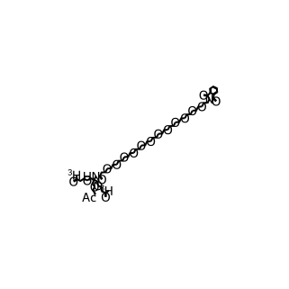 [3H]C(=O)CCOCC(COCCC([3H])=O)(COCCC(C)=O)NC(=O)CCOCCOCCOCCOCCOCCOCCOCCOCCOCCOCCOCCOCCN1C(=O)c2ccccc2C1=O